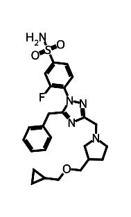 NS(=O)(=O)c1ccc(-n2nc(CN3CCC(COCC4CC4)C3)nc2Cc2ccccc2)c(F)c1